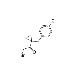 O=C(CBr)C1(Cc2ccc(Cl)cc2)CC1